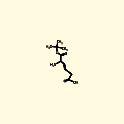 CC(C)(C)OC(=O)C(N)/C=C/CC(=O)O